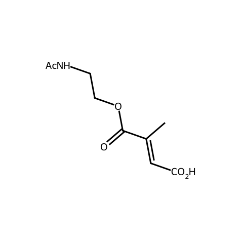 CC(=O)NCCOC(=O)/C(C)=C/C(=O)O